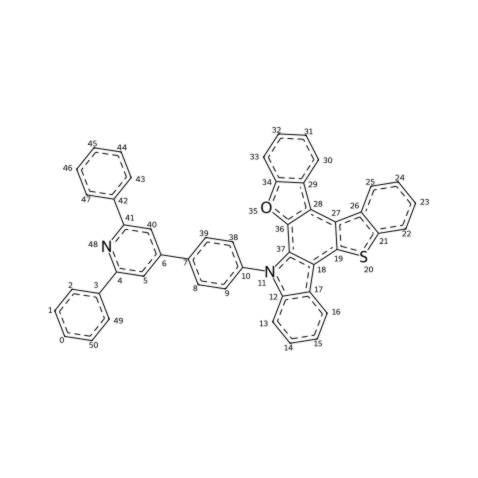 c1ccc(-c2cc(-c3ccc(-n4c5ccccc5c5c6sc7ccccc7c6c6c7ccccc7oc6c54)cc3)cc(-c3ccccc3)n2)cc1